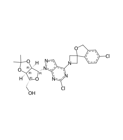 CC1(C)O[C@@H]2[C@H](O1)[C@@H](CO)O[C@H]2n1ncc2c(N3CC4(C3)OCc3cc(Cl)ccc34)nc(Cl)nc21